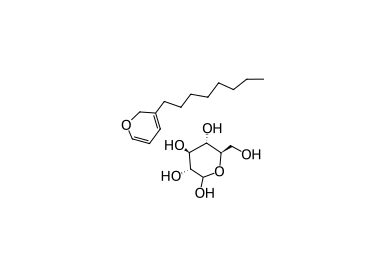 CCCCCCCCC1=CC=COC1.OC[C@H]1OC(O)[C@H](O)[C@@H](O)[C@@H]1O